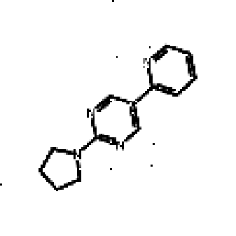 c1ccc(-c2cnc(N3CCCC3)nc2)nc1